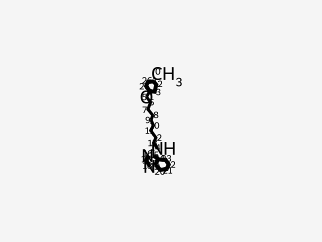 Cc1ccc(OCCCCCCCCNc2ncnc3ccccc23)cc1